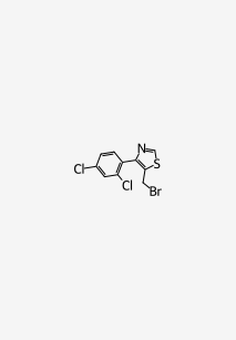 Clc1ccc(-c2ncsc2CBr)c(Cl)c1